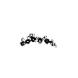 CC1Oc2cc(N3CCCC3=O)ccc2-c2cnc(Nc3cncc(N4COc5cc(C(N)=O)ccc54)c3)cc21